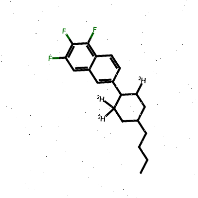 [2H]C1CC(CCCC)CC([2H])([2H])C1c1ccc2c(F)c(F)c(F)cc2c1